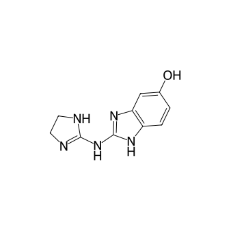 Oc1ccc2[nH]c(NC3=NCCN3)nc2c1